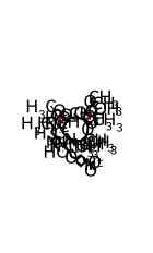 CC[C@H]1OC(=O)[C@H](C)[C@@H](O[C@H]2C[C@@](C)(OC)[C@@H](O)[C@H](C)O2)[C@H](C)[C@@H](O[C@@H]2O[C@H](C)C[C@H](N(C)CCc3cn(C[C@@H](O)COc4ccc([N+](=O)[O-])cc4)nn3)[C@H]2O)[C@](C)(O)C[C@@H](C)CN(C)[C@H](C)[C@@H](O)[C@]1(C)O